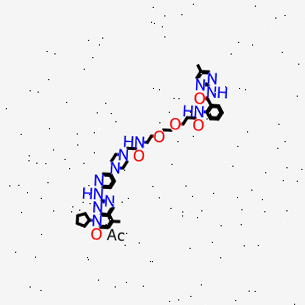 CC(=O)c1c(C)c2cnc(Nc3ccc(N4CCN(CC(=O)NCCOCCOCCC(=O)Nc5ccccc5C(=O)Nc5ncc(C)cn5)CC4)cn3)nc2n(C2CCCC2)c1=O